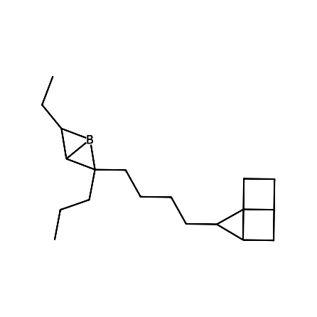 CCCC1(CCCCC2C3CC4CCC423)B2C(CC)C21